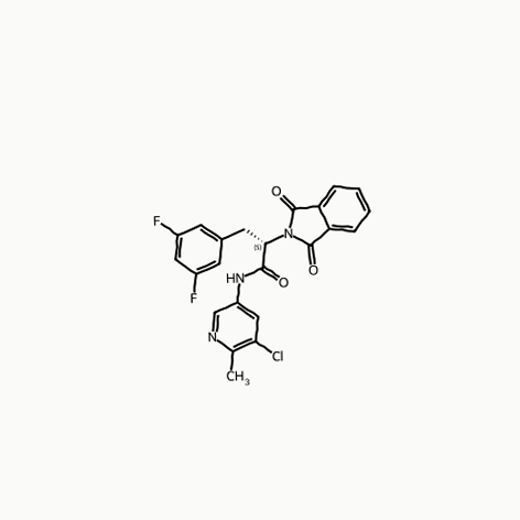 Cc1ncc(NC(=O)[C@H](Cc2cc(F)cc(F)c2)N2C(=O)c3ccccc3C2=O)cc1Cl